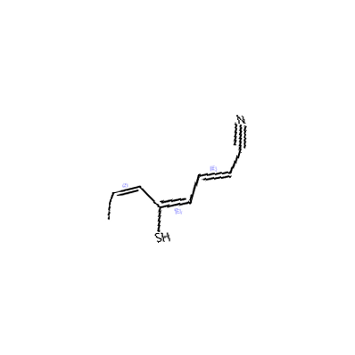 C\C=C/C(S)=C\C=C\C#N